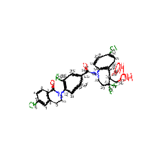 O=C1c2ccc(Cl)cc2CCN1c1ccc(C(=O)N2CCC(F)(F)[C@](O)(CO)c3cc(Cl)ccc32)cc1F